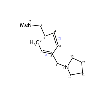 C/C=C(\C=C/CCNC)CN1CCCC1